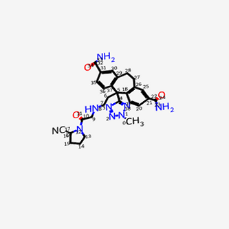 Cn1nnc(C2(CCNCC(=O)N3CCC[C@H]3C#N)c3ccc(C(N)=O)cc3CCc3cc(C(N)=O)ccc32)n1